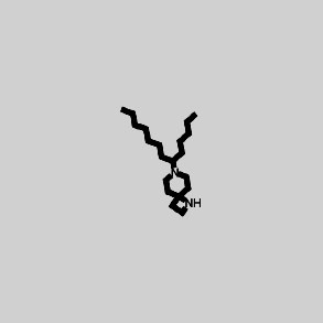 CCCCCCCC(CCCCC)N1CCC2(CCN2)CC1